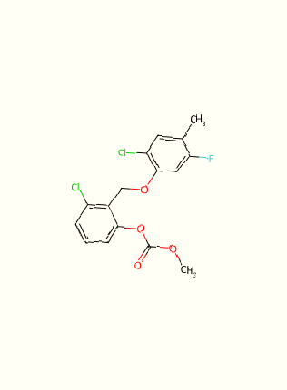 COC(=O)Oc1cccc(Cl)c1COc1cc(F)c(C)cc1Cl